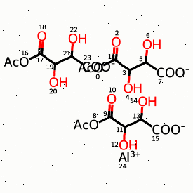 CC(=O)OC(=O)C(O)C(O)C(=O)[O-].CC(=O)OC(=O)C(O)C(O)C(=O)[O-].CC(=O)OC(=O)C(O)C(O)C(=O)[O-].[Al+3]